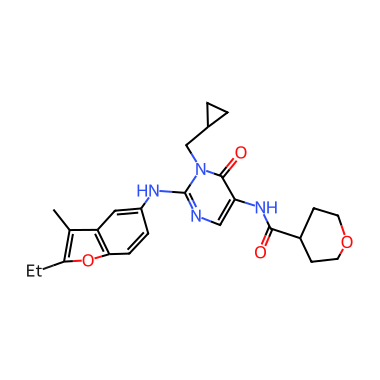 CCc1oc2ccc(Nc3ncc(NC(=O)C4CCOCC4)c(=O)n3CC3CC3)cc2c1C